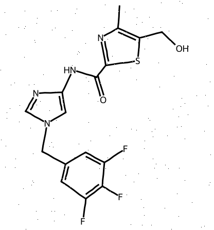 Cc1nc(C(=O)Nc2cn(Cc3cc(F)c(F)c(F)c3)cn2)sc1CO